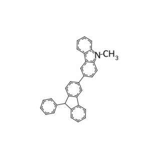 Cn1c2ccccc2c2cc(-c3ccc4c(c3)-c3ccccc3C4c3ccccc3)ccc21